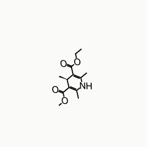 CCOC(=O)C1=C(C)NC(C)=C(C(=O)OC)[C@H]1C